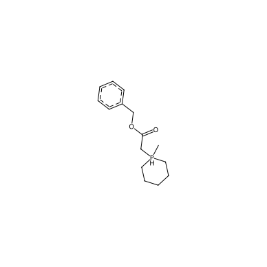 C[PH]1(CC(=O)OCc2ccccc2)CCCCC1